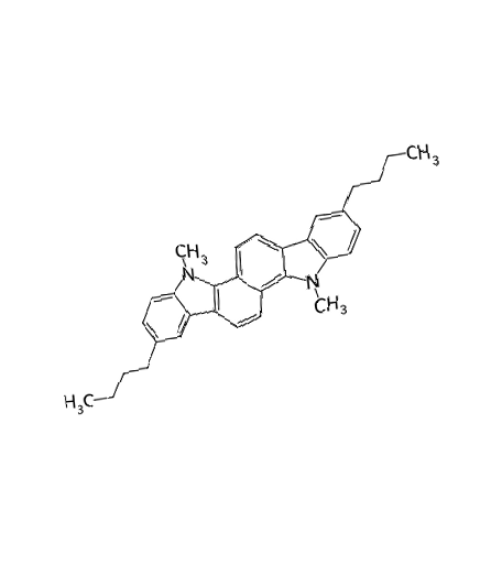 CCCCc1ccc2c(c1)c1ccc3c(ccc4c5cc(CCCC)ccc5n(C)c43)c1n2C